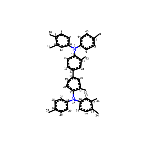 Cc1ccc(N(c2ccc(C)c(C)c2)c2ccc(-c3ccc(N(c4ccc(C)cc4)c4ccc(C)c(C)c4)c(C)c3)cc2C)cc1